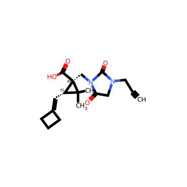 C#CCN1CC(=O)N(C[C@@]2(C(=O)O)[C@@H](C=C3CCC3)C2(C)C)C1=O